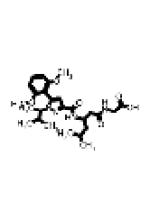 COc1cccc(OC)c1-c1cc(C(=O)NC(CC(=O)NCC(=O)O)CC(C)C)nn1C(C)C(C)C